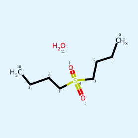 CCCCS(=O)(=O)CCCC.O